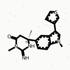 CN1C(=N)N[C@](C)(c2ccc3c(c2)c(-c2ccsc2)cn3C)CC1=O